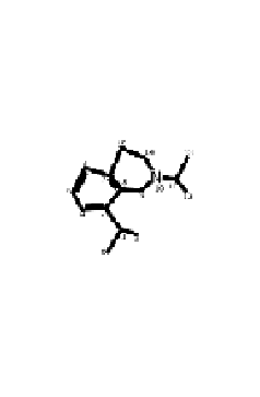 CC(C)c1cccc2c1CN(C(C)C)CC2